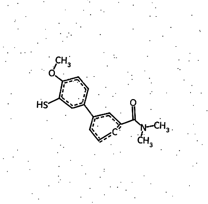 COc1ccc(-c2cccc(C(=O)N(C)C)c2)cc1S